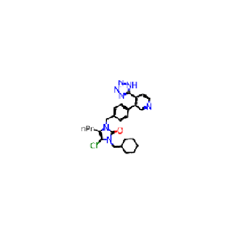 CCCc1c(Cl)n(CC2CCCCC2)c(=O)n1Cc1ccc(-c2cnccc2-c2nnn[nH]2)cc1